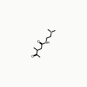 CC(=O)C(C)CC(=O)NCCN(C)C